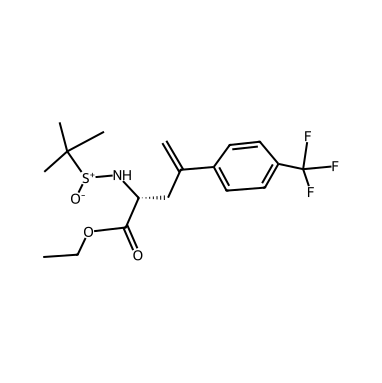 C=C(C[C@@H](N[S+]([O-])C(C)(C)C)C(=O)OCC)c1ccc(C(F)(F)F)cc1